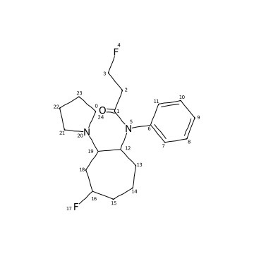 O=C(CCF)N(c1ccccc1)C1CCCC(F)CC1N1CCCC1